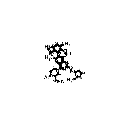 CC(=O)N1CCN(c2nc(OC[C@@H]3CCCN3C)nc3c(=O)n(-c4c(C)c(C)cc5[nH]ncc45)c(C)nc23)C[C@@H]1CC#N